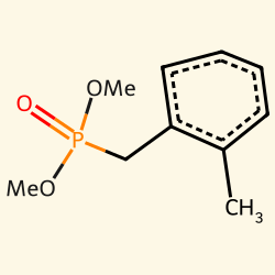 COP(=O)(Cc1ccccc1C)OC